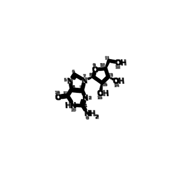 Nc1nc2c(ncn2[C@@H]2O[C@@H](CO)[C@H](O)[C@H]2O)c(=O)[nH]1